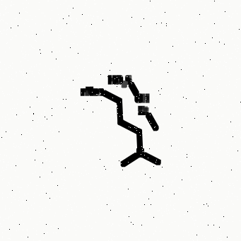 CCC.CCCCCCCCCCCCN(C)C.O=S(=O)(O)O